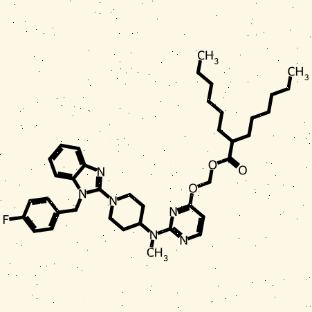 CCCCCCC(CCCCCC)C(=O)OCOc1ccnc(N(C)C2CCN(c3nc4ccccc4n3Cc3ccc(F)cc3)CC2)n1